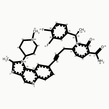 Cc1nc2cnc3ccc(C#CCc4ccc(C(N)=O)c(=O)n4[C@H](C)c4ccc(F)c(F)c4)cc3c2n1C1CCN(C)CC1